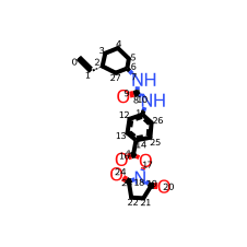 C=C[C@@H]1CCCC(NC(=O)Nc2ccc(C(=O)ON3C(=O)CCC3=O)cc2)C1